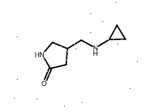 O=C1CC(CNC2CC2)CN1